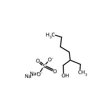 CCCCC(CC)CO.O=S(=O)([O-])[O-].[Na+].[Na+]